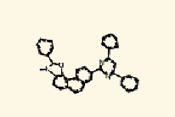 CN1c2ccc3ccc4cc(-c5nc(-c6ccccc6)cc(-c6ccccc6)n5)ccc4c3c2OC1c1ccccc1